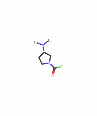 CCN(CC)[C@@H]1CCN(C(=O)Cl)C1